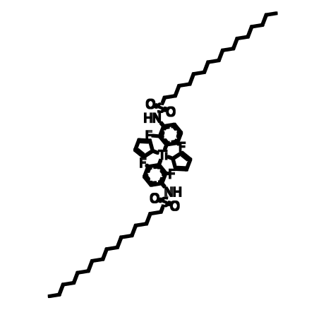 CCCCCCCCCCCCCCCCS(=O)(=O)Nc1ccc(F)[c]([Ti]([c]2c(F)ccc(NS(=O)(=O)CCCCCCCCCCCCCCCC)c2F)([CH]2C=CC=C2)[CH]2C=CC=C2)c1F